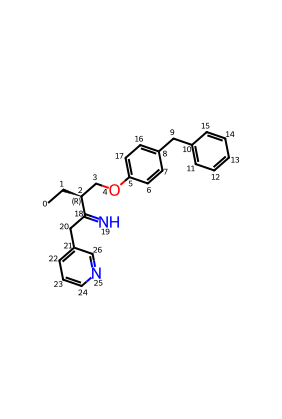 CC[C@@H](COc1ccc(Cc2ccccc2)cc1)C(=N)Cc1cccnc1